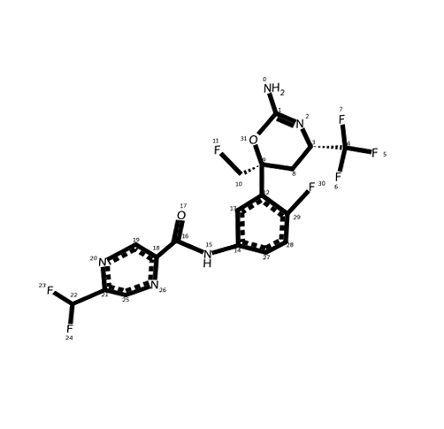 NC1=N[C@H](C(F)(F)F)C[C@@](CF)(c2cc(NC(=O)c3cnc(C(F)F)cn3)ccc2F)O1